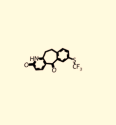 O=C1c2cc(SC(F)(F)F)ccc2CCc2[nH]c(=O)ccc21